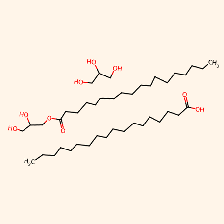 CCCCCCCCCCCCCCCCCC(=O)O.CCCCCCCCCCCCCCCCCC(=O)OCC(O)CO.OCC(O)CO